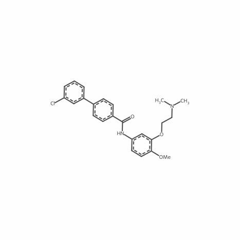 COc1ccc(NC(=O)c2ccc(-c3cccc(Cl)c3)cc2)cc1OCCN(C)C